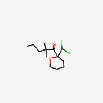 CCCC(C)(C)C(=O)C1(C(F)F)CCCCO1